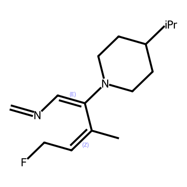 C=N/C=C(\C(C)=C/CF)N1CCC(C(C)C)CC1